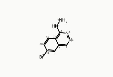 NNc1nncc2cc(Br)ccc12